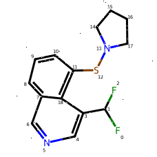 FC(F)c1cncc2cccc(SN3CCCC3)c12